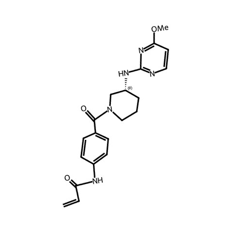 C=CC(=O)Nc1ccc(C(=O)N2CCC[C@@H](Nc3nccc(OC)n3)C2)cc1